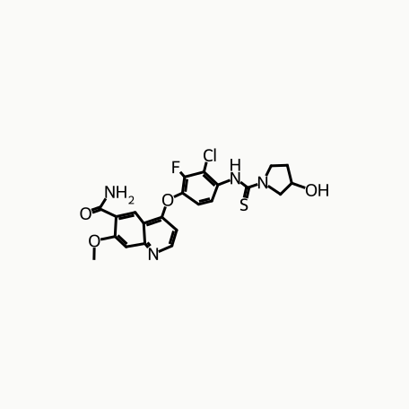 COc1cc2nccc(Oc3ccc(NC(=S)N4CCC(O)C4)c(Cl)c3F)c2cc1C(N)=O